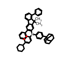 CC1(C)c2cc(N(c3ccc(C4CCCCC4)cc3)c3ccc(C45CC6CC(CC(C6)C4)C5)cc3)c(-c3ccccc3)cc2-c2cccc(-c3ccccc3)c21